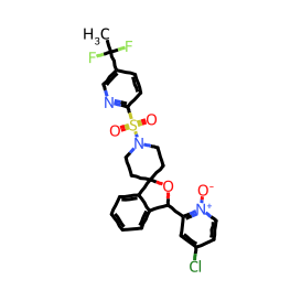 CC(F)(F)c1ccc(S(=O)(=O)N2CCC3(CC2)OC(c2cc(Cl)cc[n+]2[O-])c2ccccc23)nc1